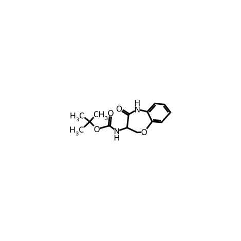 CC(C)(C)OC(=O)NC1COc2ccccc2NC1=O